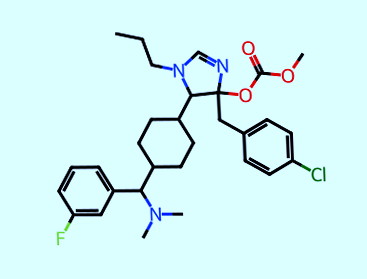 CCCN1C=NC(Cc2ccc(Cl)cc2)(OC(=O)OC)C1C1CCC(C(c2cccc(F)c2)N(C)C)CC1